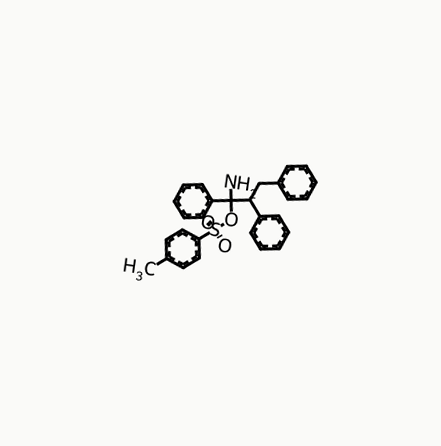 Cc1ccc(S(=O)(=O)OC(N)(c2ccccc2)C(Cc2ccccc2)c2ccccc2)cc1